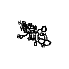 CC(C)(C)NC(=O)[C@@H]1C[C@@H]2CCCC[C@@H]2CN1C[C@@H](O)[C@H](Cc1ccccc1)NC(=O)[C@@H](NC(=O)CO)C(C)(C)S(C)(=O)=O